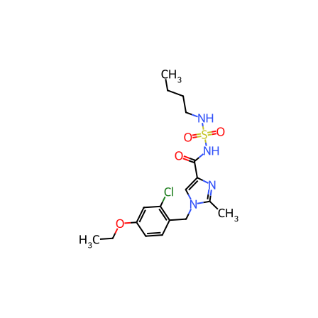 CCCCNS(=O)(=O)NC(=O)c1cn(Cc2ccc(OCC)cc2Cl)c(C)n1